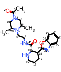 CC(=O)N1C[C@@H](C)N(CCNC(=O)[C@H]2NCCCC2c2nc3ccccc3o2)[C@@H](C)C1